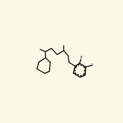 CC(CCc1cccc(F)c1F)CCC(C)C1CCCCC1